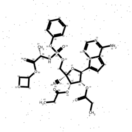 CCC(=O)O[C@H]1[C@H](c2ccc3c(N)ncnn23)O[C@](C#N)(COP(=O)(N[C@@H](C)C(=O)OC2COC2)Oc2ccccc2)[C@H]1OC(=O)CC